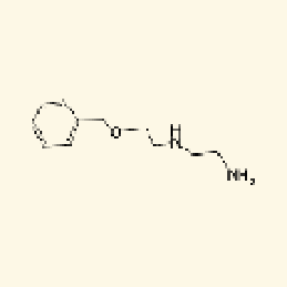 NCCNCCOCc1ccccc1